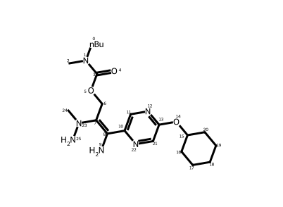 CCCCN(C)C(=O)OC/C(=C(/N)c1cnc(OC2CCCCC2)cn1)N(C)N